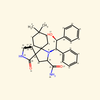 CC1(C)CCC2(CC1)N([C@H](c1ccccc1)[C@@H](O)c1ccccc1)C(C(N)=O)CC21C(=O)Nc2ccccc21